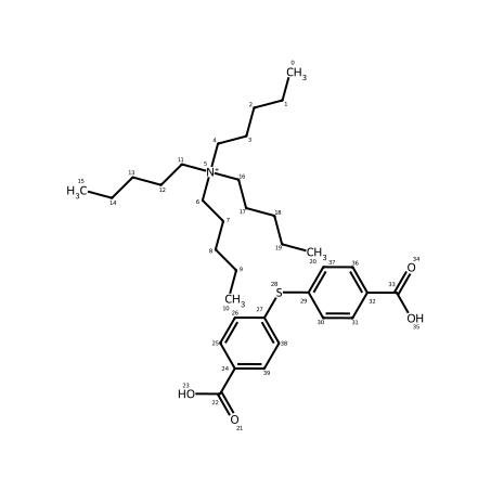 CCCCC[N+](CCCCC)(CCCCC)CCCCC.O=C(O)c1ccc(Sc2ccc(C(=O)O)cc2)cc1